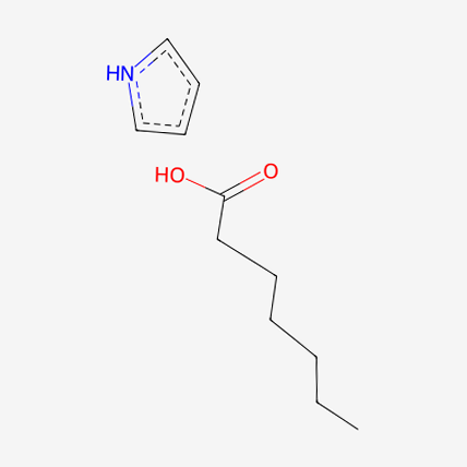 CCCCCCC(=O)O.c1cc[nH]c1